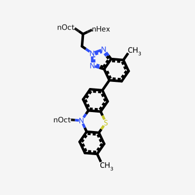 CCCCCCCCC(CCCCCC)Cn1nc2c(C)ccc(-c3ccc4c(c3)Sc3cc(C)ccc3N4CCCCCCCC)c2n1